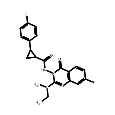 CCN(C)c1nc2cc(F)ccc2c(=O)n1NC(=O)C1CC1c1ccc(Cl)cc1